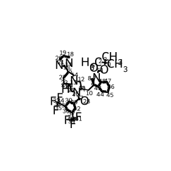 CC(C)(C)OC(=O)n1cc(C[C@@H]2CN3CC(c4ncccn4)=CC[C@@H]3CN2C(=O)c2cc(C(F)(F)F)cc(C(F)(F)F)c2)c2ccccc21